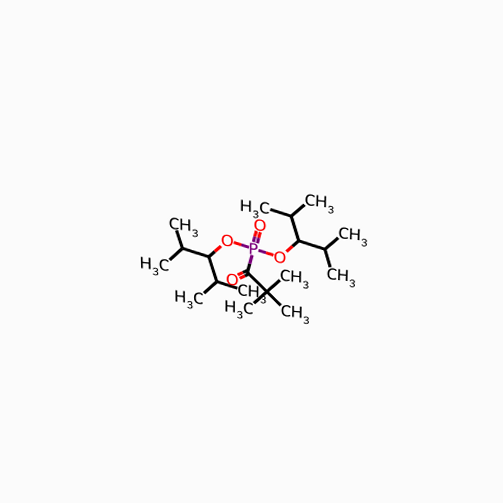 CC(C)C(OP(=O)(OC(C(C)C)C(C)C)C(=O)C(C)(C)C)C(C)C